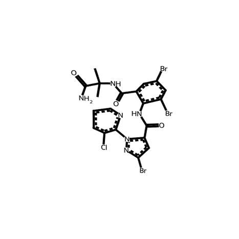 CC(C)(NC(=O)c1cc(Br)cc(Br)c1NC(=O)c1cc(Br)nn1-c1ncccc1Cl)C(N)=O